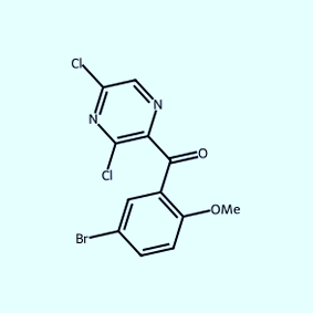 COc1ccc(Br)cc1C(=O)c1ncc(Cl)nc1Cl